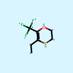 CCC1=C(C(F)(F)F)OCCS1